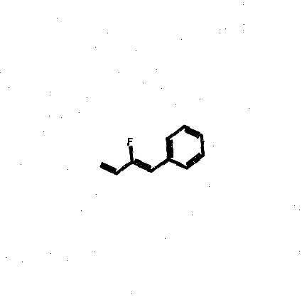 C=CC(F)=Cc1ccccc1